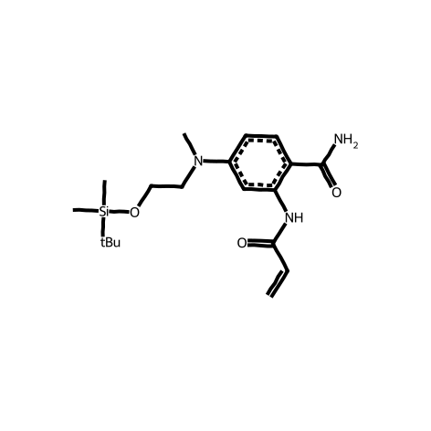 C=CC(=O)Nc1cc(N(C)CCO[Si](C)(C)C(C)(C)C)ccc1C(N)=O